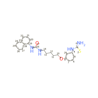 NC(=S)Nc1cccc(OCCCCCNC(=O)Nc2cccc3ccccc23)c1